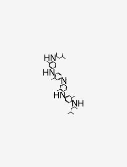 Cc1cc(N(C)c2ccc(Nc3ccc(NC(C)CC(C)C)c(C)c3)c(C)c2)ccc1Nc1ccc(NC(C)CC(C)C)c(C)c1